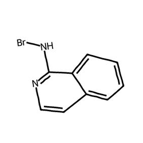 BrNc1nccc2ccccc12